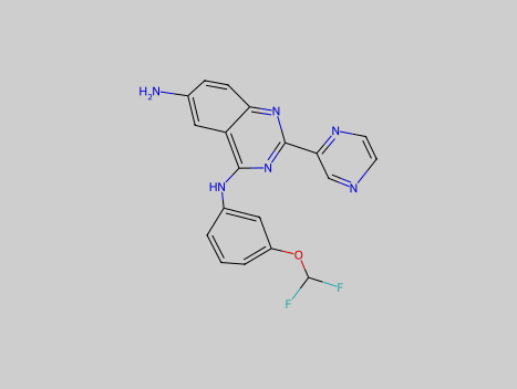 Nc1ccc2nc(-c3cnccn3)nc(Nc3cccc(OC(F)F)c3)c2c1